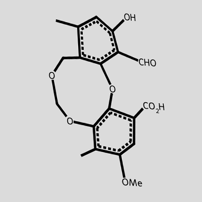 COc1cc(C(=O)O)c2c(c1C)OCOCc1c(C)cc(O)c(C=O)c1O2